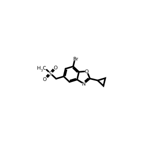 CS(=O)(=O)Cc1cc(Br)c2oc(C3CC3)nc2c1